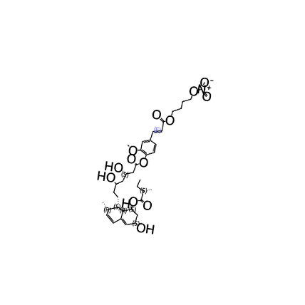 CC[C@H](C)C(=O)O[C@H]1C[C@H](O)C=C2C=C[C@H](C)[C@H](CCC(O)C[C@H](O)CC(=O)Oc3ccc(/C=C/C(=O)OCCCCO[N+](=O)[O-])cc3OC)[C@H]21